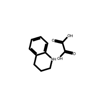 O=C(O)C(=O)O.c1ccc2c(c1)CCCN2